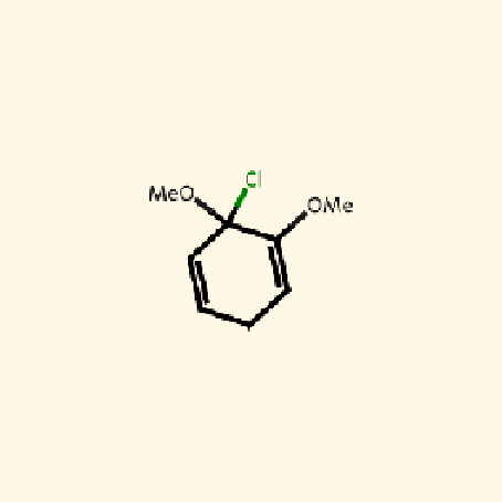 COC1=C[CH]C=CC1(Cl)OC